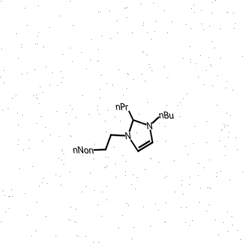 CCCCCCCCCCCN1C=CN(CCCC)C1CCC